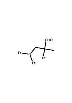 CCN(CC)CC(C)(C=O)CC